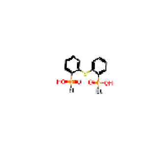 CCP(=O)(O)c1ccccc1Sc1ccccc1P(=O)(O)CC